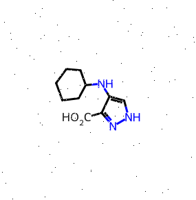 O=C(O)c1n[nH]cc1NC1CCCCC1